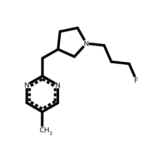 Cc1cnc(CC2CCN(CCCF)C2)nc1